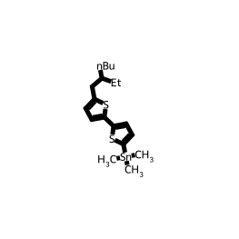 CCCCC(CC)Cc1ccc(-c2cc[c]([Sn]([CH3])([CH3])[CH3])s2)s1